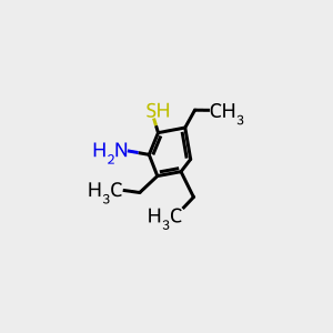 CCc1cc(CC)c(CC)c(N)c1S